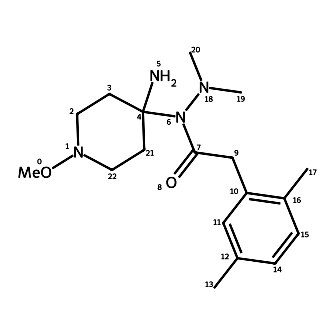 CON1CCC(N)(N(C(=O)Cc2cc(C)ccc2C)N(C)C)CC1